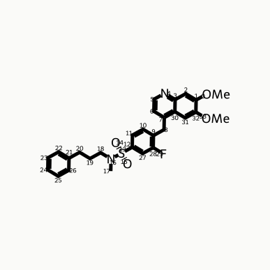 COc1cc2nccc(Cc3ccc(S(=O)(=O)N(C)CCCc4ccccc4)cc3F)c2cc1OC